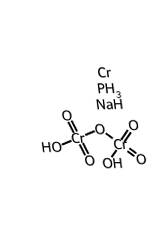 P.[Cr].[NaH].[O]=[Cr](=[O])([OH])[O][Cr](=[O])(=[O])[OH]